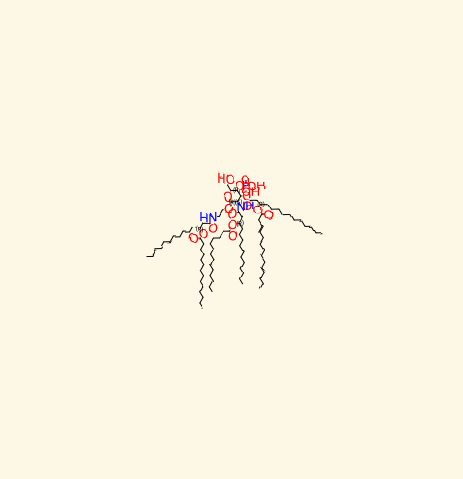 CCCCCCCCCCCCCC(=O)O[C@H](CCCCCCCCCCC)CC(=O)NCCO[C@@H]1OC(CO)[C@H](OP(=O)(O)O)C(OC(=O)C[C@@H](CCCCCCCCCCC)OC(=O)CCCCCCCCCCCCC)[C@@H]1NC(=O)C[C@@H](CCCCCCCCCCC)OC(=O)CCCCCCCCCCCCC